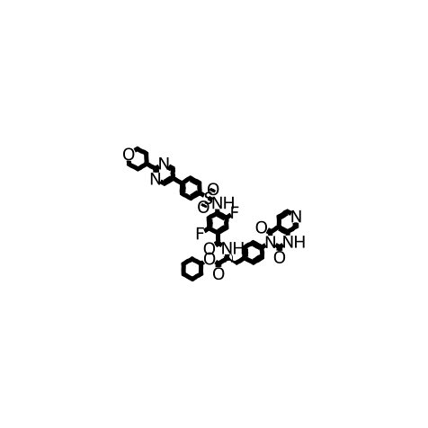 O=C(N[C@@H](Cc1ccc(-n2c(=O)[nH]c3cnccc3c2=O)cc1)C(=O)OC1CCCCC1)c1cc(F)c(NS(=O)(=O)c2ccc(-c3cnc(C4CCOCC4)nc3)cc2)cc1F